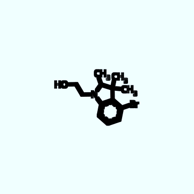 CC1N(CCO)c2cccc(Br)c2C1(C)C